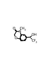 CN1C(=O)COc2ccc([C@@H](O)C(F)(F)F)cc21